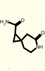 NC(=O)C1CC12CCNC(=O)C2